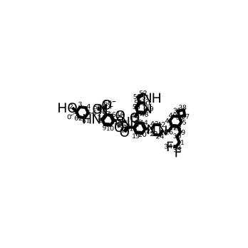 C[C@]1(O)CC[C@H](CNc2ccc(S(=O)(=O)NC(=O)c3ccc(N4CCN(CC5=C(CCCC(F)F)CC6(CCC6)CC5)CC4)cc3Oc3cnc4[nH]ccc4c3)cc2[N+](=O)[O-])CC1